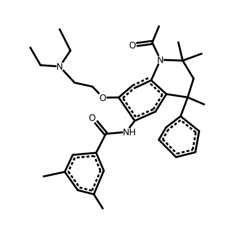 CCN(CC)CCOc1cc2c(cc1NC(=O)c1cc(C)cc(C)c1)C(C)(c1ccccc1)CC(C)(C)N2C(C)=O